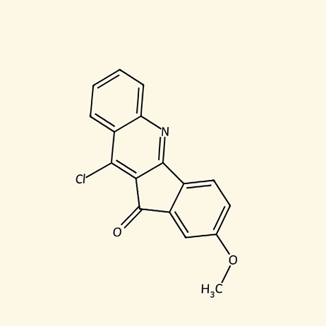 COc1ccc2c(c1)C(=O)c1c-2nc2ccccc2c1Cl